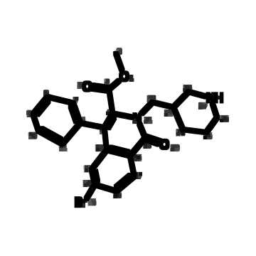 COC(=O)c1c(-c2ccccc2)c2cc(Br)ccc2c(=O)n1CC1CCCNC1